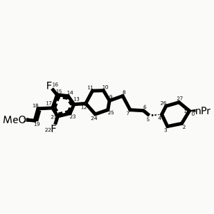 CCC[C@H]1CC[C@H](CCCCC2CCC(c3cc(F)c(C=COC)c(F)c3)CC2)CC1